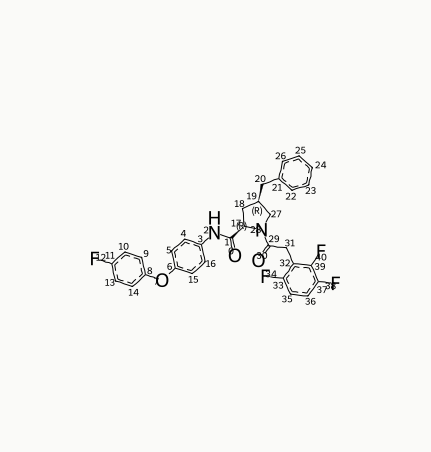 O=C(Nc1ccc(Oc2ccc(F)cc2)cc1)[C@H]1C[C@@H](Cc2ccccc2)CN1C(=O)Cc1c(F)ccc(F)c1F